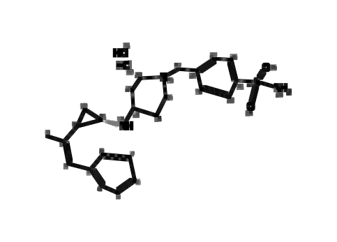 CC(=Cc1ccccc1)C1C[C@@H]1NC1CCN(Cc2ccc(S(N)(=O)=O)cc2)CC1.Cl.Cl